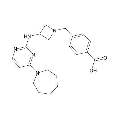 O=C(O)c1ccc(CN2CC(Nc3nccc(N4CCCCCC4)n3)C2)cc1